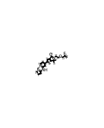 Cn1nccc1Nc1cc(-c2cc3c(s2)C(C)(C)N(CCOCC(F)F)C3=O)ccn1